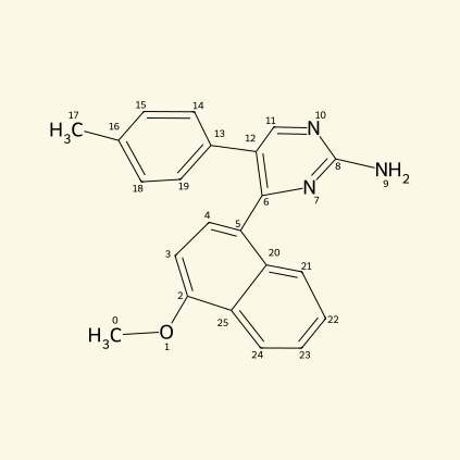 COc1ccc(-c2nc(N)ncc2-c2ccc(C)cc2)c2ccccc12